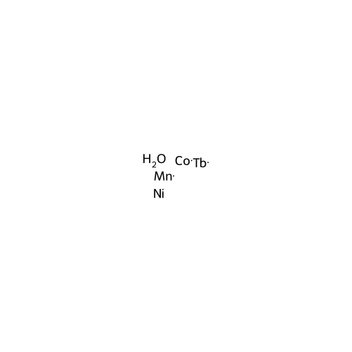 O.[Co].[Mn].[Ni].[Tb]